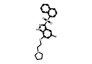 O=S(=O)(c1cccc2ccccc12)c1n[nH]c2c(OCCN3CCCC3)cc(F)cc12